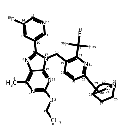 CCOc1nc(C)c2nc(-c3cncc(F)c3)n(Cc3ccc(C4CN5CCC4CC5)nc3C(F)(F)F)c2n1